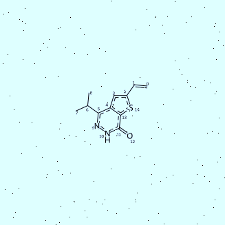 C=Cc1cc2c(C(C)C)n[nH]c(=O)c2s1